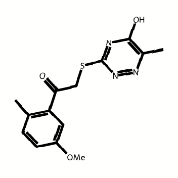 COc1ccc(C)c(C(=O)CSc2nnc(C)c(O)n2)c1